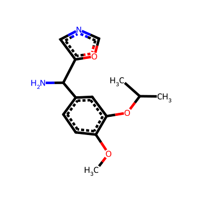 COc1ccc(C(N)c2cnco2)cc1OC(C)C